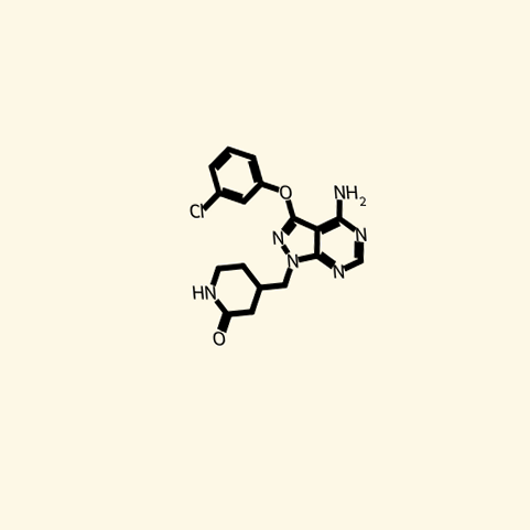 Nc1ncnc2c1c(Oc1cccc(Cl)c1)nn2CC1CCNC(=O)C1